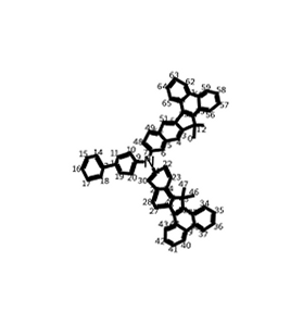 CC1(C)c2cc3cc(N(c4ccc(-c5ccccc5)cc4)c4ccc5c6c(ccc5c4)-c4c(c5ccccc5c5ccccc45)C6(C)C)ccc3cc2-c2c1c1ccccc1c1ccccc21